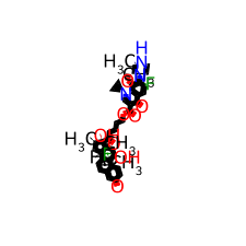 COc1c(N2CCNC(C)C2)c(F)cc2c(=O)c(C(=O)OCCC[CH]C(=O)[C@]3(O)[C@@H](C)C[C@@H]4[C@H]5CCC6=CC(=O)C=C[C@@]6(C)[C@]5(F)[C@H](O)C[C@]43C)cn(C3CC3)c12